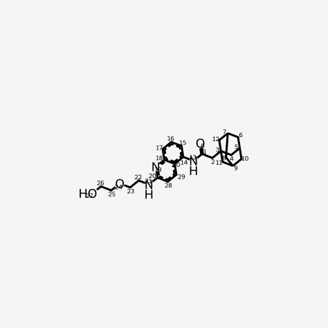 O=C(CC12CC3CC(CC(C3)C1)C2)Nc1cccc2nc(NCCOCCO)ccc12